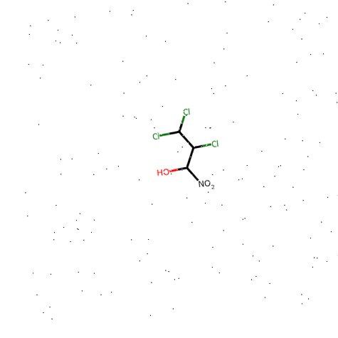 O=[N+]([O-])C(O)C(Cl)C(Cl)Cl